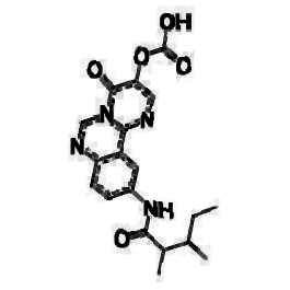 CCC(C)C(C)C(=O)Nc1ccc2ncn3c(=O)c(OC(=O)O)cnc3c2c1